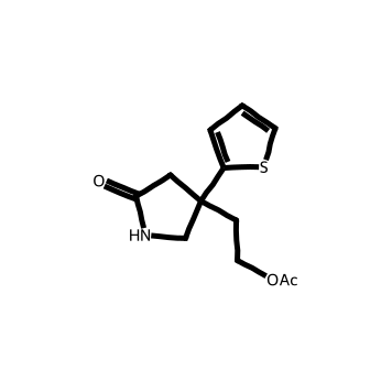 CC(=O)OCCC1(c2cccs2)CNC(=O)C1